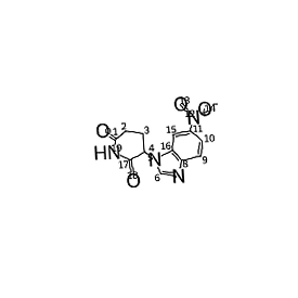 O=C1CCC(n2cnc3ccc([N+](=O)[O-])cc32)C(=O)N1